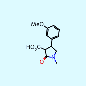 COc1cccc(C2CN(C)C(=O)C2C(=O)O)c1